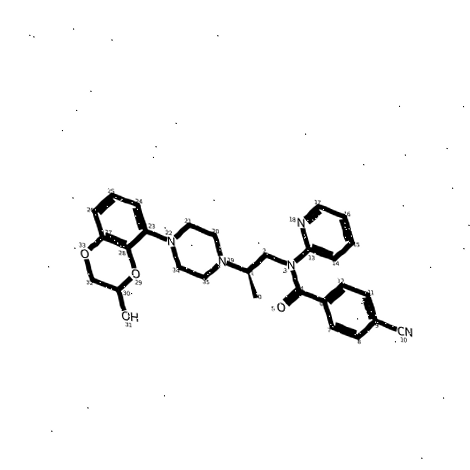 C[C@H](CN(C(=O)c1ccc(C#N)cc1)c1ccccn1)N1CCN(c2cccc3c2OC(O)CO3)CC1